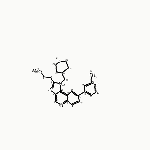 COCCc1nc2cnc3ccc(-c4cccc(C)c4)cc3c2n1CC1CCOCC1